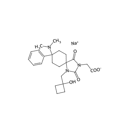 CN(C)C1(c2ccccc2)CCC2(CC1)C(=O)N(CC(=O)[O-])C(=O)N2CC1(O)CCC1.[Na+]